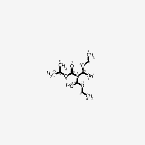 CCOC(O)N(C(=O)OC(C)C)C(O)OCC